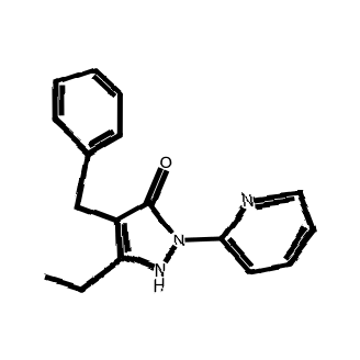 CCc1[nH]n(-c2ccccn2)c(=O)c1Cc1ccccc1